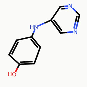 Oc1ccc(Nc2cncnc2)cc1